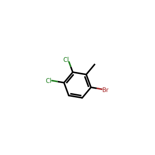 Cc1c(Br)ccc(Cl)c1Cl